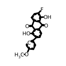 COc1ccc(-c2ccc3c(c2O)C(=O)c2ccc(F)c(O)c2C3=O)cc1